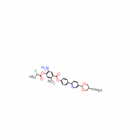 CCCCCCCC1COC(c2ccc(-c3ccc(OC(=O)c4cc(N)c(OC(=O)[C@H](F)CCCC)cc4[N+](=O)[O-])cc3)nc2)OC1